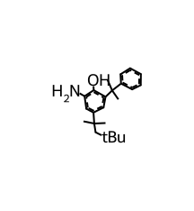 CC(C)(C)CC(C)(C)c1cc(N)c(O)c(C(C)(C)c2ccccc2)c1